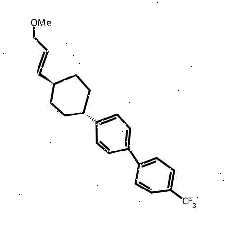 COCC=C[C@H]1CC[C@H](c2ccc(-c3ccc(C(F)(F)F)cc3)cc2)CC1